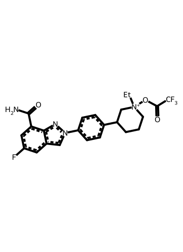 CC[N+]1(OC(=O)C(F)(F)F)CCCC(c2ccc(-n3cc4cc(F)cc(C(N)=O)c4n3)cc2)C1